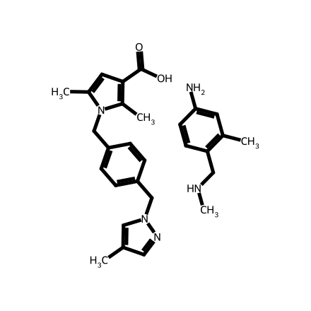 CNCc1ccc(N)cc1C.Cc1cnn(Cc2ccc(Cn3c(C)cc(C(=O)O)c3C)cc2)c1